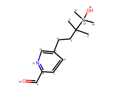 CC(C)(CCc1ccc(C=O)nc1)[Si](C)(C)O